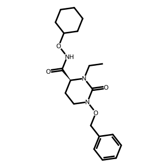 CCN1C(=O)N(OCc2ccccc2)CC[C@H]1C(=O)NOC1CCCCC1